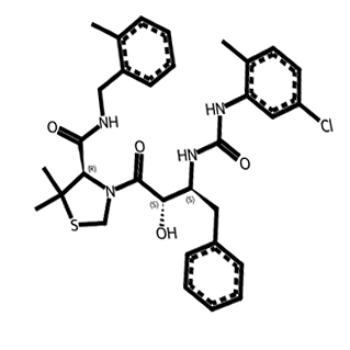 Cc1ccccc1CNC(=O)[C@H]1N(C(=O)[C@@H](O)[C@H](Cc2ccccc2)NC(=O)Nc2cc(Cl)ccc2C)CSC1(C)C